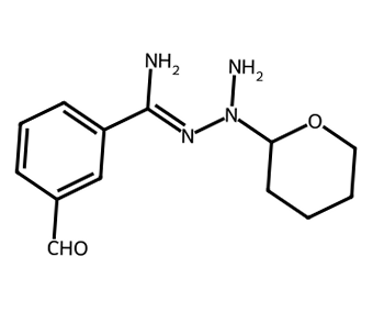 N/C(=N\N(N)C1CCCCO1)c1cccc(C=O)c1